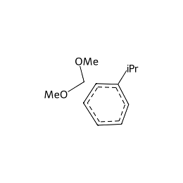 CC(C)c1ccccc1.COCOC